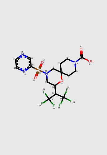 O=C(O)N1CCC2(CC1)CN(S(=O)(=O)c1cnccn1)CC(C(C(F)(F)F)C(F)(F)F)O2